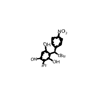 CC(C)c1c(N=O)cc(O)c(C(c2ccc([N+](=O)[O-])cc2)C(C)(C)C)c1O